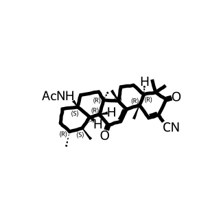 CC(=O)N[C@]12CC[C@@H](C)[C@H](C)[C@H]1[C@H]1C(=O)C=C3[C@@]4(C)C=C(C#N)C(=O)C(C)(C)[C@@H]4CC[C@@]3(C)[C@]1(C)CC2